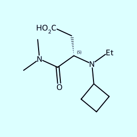 CCN(C1CCC1)[C@@H](CC(=O)O)C(=O)N(C)C